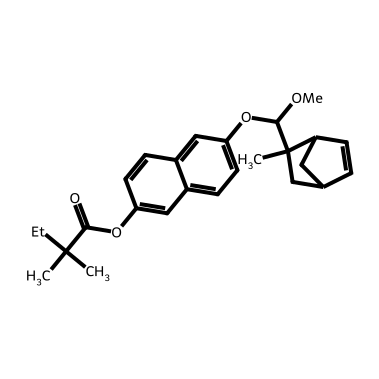 CCC(C)(C)C(=O)Oc1ccc2cc(OC(OC)C3(C)CC4C=CC3C4)ccc2c1